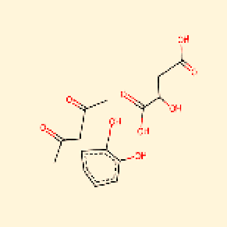 CC(=O)CC(C)=O.O=C(O)CC(O)C(=O)O.Oc1ccccc1O